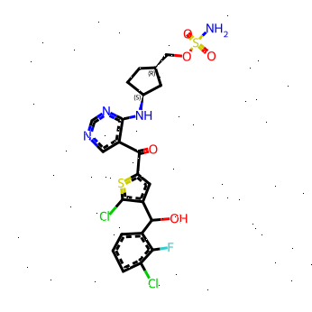 NS(=O)(=O)OC[C@@H]1CC[C@H](Nc2ncncc2C(=O)c2cc(C(O)c3cccc(Cl)c3F)c(Cl)s2)C1